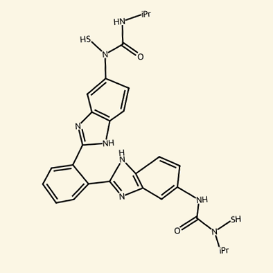 CC(C)NC(=O)N(S)c1ccc2[nH]c(-c3ccccc3-c3nc4cc(NC(=O)N(S)C(C)C)ccc4[nH]3)nc2c1